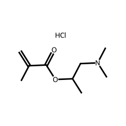 C=C(C)C(=O)OC(C)CN(C)C.Cl